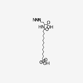 [N-]=[N+]=NCC[C@H](NC(=O)CCCCCCCCCCCCCS(=O)(=O)O)C(=O)O